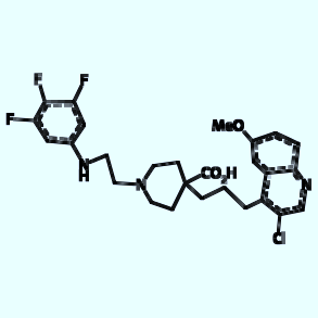 COc1ccc2ncc(Cl)c(CCCC3(C(=O)O)CCN(CCNc4cc(F)c(F)c(F)c4)CC3)c2c1